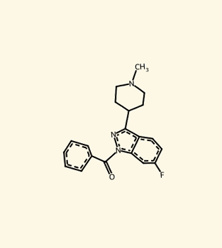 CN1CCC(c2nn(C(=O)c3ccccc3)c3cc(F)ccc23)CC1